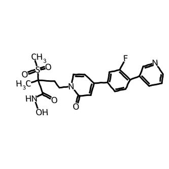 CC(CCn1ccc(-c2ccc(-c3cccnc3)c(F)c2)cc1=O)(C(=O)NO)S(C)(=O)=O